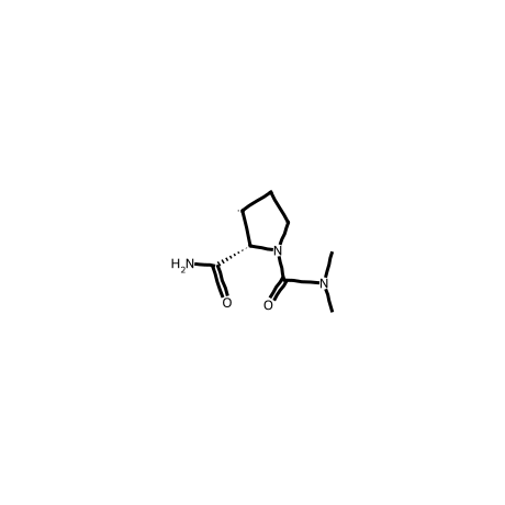 CN(C)C(=O)N1CC[CH][C@H]1C(N)=O